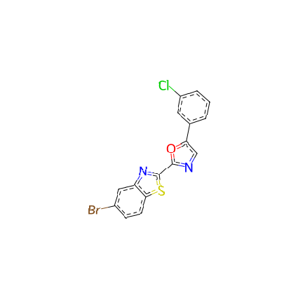 Clc1cccc(-c2cnc(-c3nc4cc(Br)ccc4s3)o2)c1